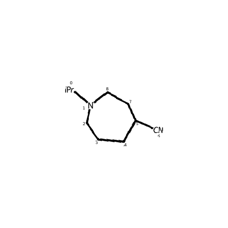 CC(C)N1CCCC(C#N)CC1